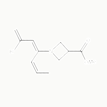 C=C(Br)/C=C(\C=C/C)N1CC(C(=O)OC)C1